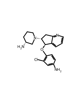 Nc1ccc(O[C@@H]2c3cccnc3C[C@H]2N2CCC[C@@H](N)C2)c(Cl)c1